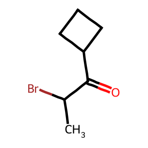 CC(Br)C(=O)C1CCC1